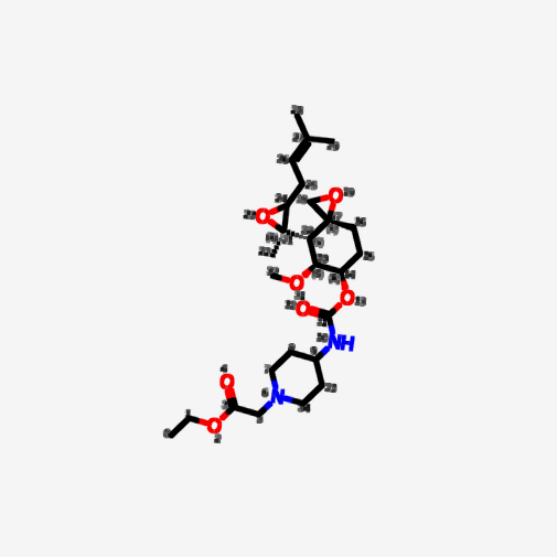 CCOC(=O)CN1CCC(NC(=O)O[C@@H]2CC[C@]3(CO3)[C@@H]([C@@]3(C)OC3CC=C(C)C)[C@@H]2OC)CC1